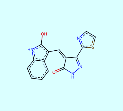 O=C1NN=C(c2nccs2)C1=Cc1c(O)[nH]c2ccccc12